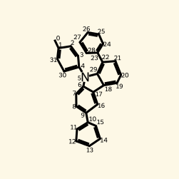 Cc1ccc(-n2c3ccc(-c4ccccc4)cc3c3cccc(-c4ccccc4)c32)cc1